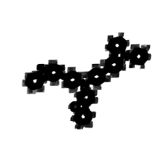 c1ccc(-n2c3ccccc3c3cc(-c4ccc(N(c5ccc(-c6ccc7sc8ccccc8c7c6)cc5)c5ccc6c(c5)oc5ccccc56)cc4)ccc32)cc1